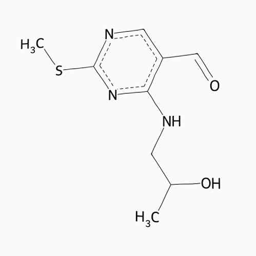 CSc1ncc(C=O)c(NCC(C)O)n1